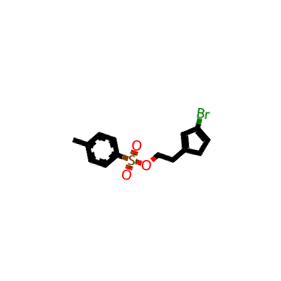 Cc1ccc(S(=O)(=O)OCCC2=CC(Br)=CC2)cc1